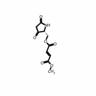 COC(=O)/C=C/C(=O)OC[C@H]1NC(=O)CC1=O